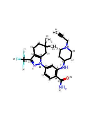 C#CCN1CCC(Nc2cc(-n3nc(C(F)(F)F)c4c3CC(C)(C)CC4)ccc2C(N)=O)CC1